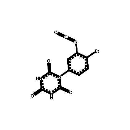 CCc1ccc(-n2c(=O)[nH]c(=O)[nH]c2=O)cc1N=C=O